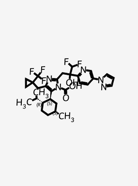 CC(C)[C@H]1CC[C@H](C)C[C@@H]1c1c(CC2(C(F)(F)F)CC2)nc(CC(O)(c2ccc(-n3cccn3)cn2)C(F)F)n1C(=O)O